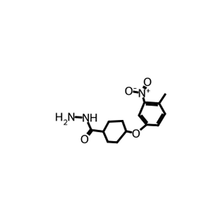 Cc1ccc(OC2CCC(C(=O)NN)CC2)cc1[N+](=O)[O-]